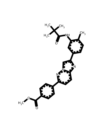 COC(=O)c1ccc(-c2ccc3nc(-c4ccc(C)c(NC(=O)C(C)(C)C)c4)cn3n2)cc1